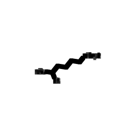 [CH2]CCCC(CC)CCCCCCCCCCC